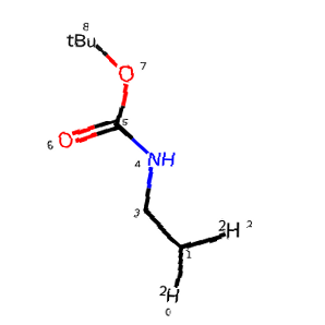 [2H][C]([2H])CNC(=O)OC(C)(C)C